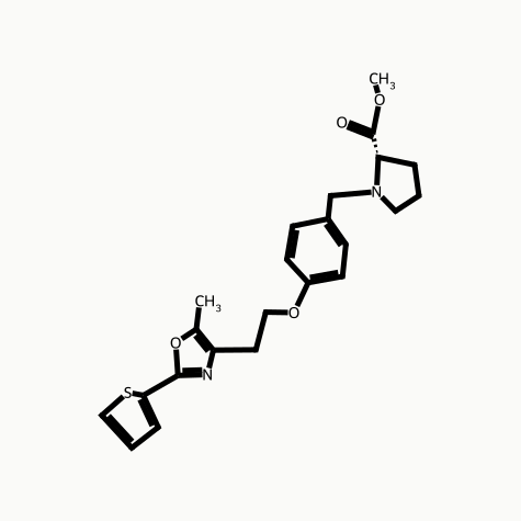 COC(=O)[C@@H]1CCCN1Cc1ccc(OCCc2nc(-c3cccs3)oc2C)cc1